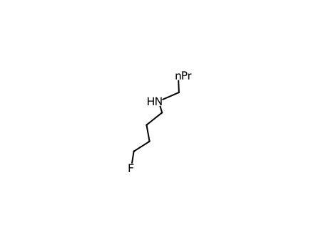 CCCCNCCCCF